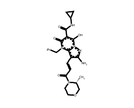 CC(C)Cn1c(=O)c(C(=O)NC2CC2)c(O)n2nc(N)c(/C=C/C(=O)N3CCOC[C@H]3C)c12